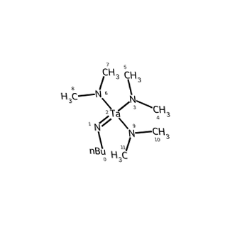 CCCC[N]=[Ta]([N](C)C)([N](C)C)[N](C)C